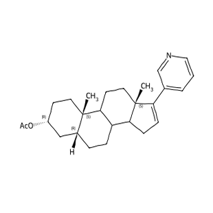 CC(=O)O[C@@H]1CC[C@]2(C)C3CC[C@]4(C)C(c5cccnc5)=CCC4C3CC[C@@H]2C1